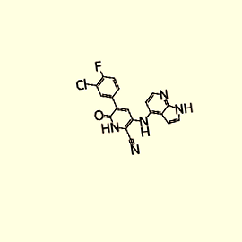 N#Cc1[nH]c(=O)c(-c2ccc(F)c(Cl)c2)cc1Nc1ccnc2[nH]ccc12